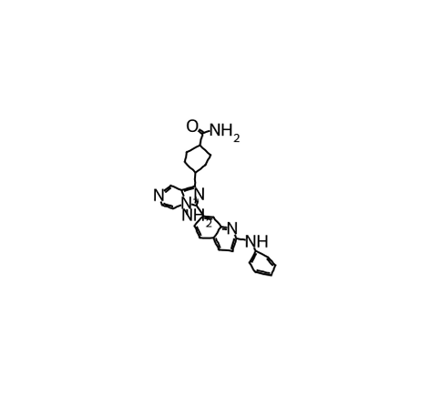 NC(=O)C1CCC(C2=C3C=NC=C[N+]3(N)C(c3ccc4ccc(Nc5ccccc5)nc4c3)=N2)CC1